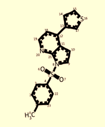 Cc1ccc(S(=O)(=O)n2ccc3c(-c4ccsc4)ccnc32)cc1